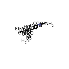 CCN1CCN(C(=O)NC(C(=O)N[C@H]2Cc3ccc(/C=N/OCCN)c(C(=O)O)c3OB2O)c2csc(N)n2)C(=O)C1=O